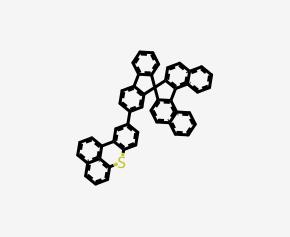 c1ccc2c(c1)-c1ccc(-c3ccc4c(c3)-c3cccc5cccc(c35)S4)cc1C21c2ccc3ccccc3c2-c2c1ccc1ccccc21